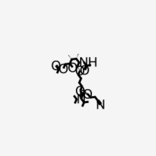 CC(=O)NC1[C@H](OCCCCOP(OCCC#N)N(C(C)C)C(C)C)OC(COC(C)=O)[C@H](C)[C@@H]1C